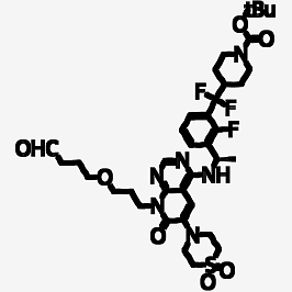 C[C@@H](Nc1ncnc2c1cc(N1CCS(=O)(=O)CC1)c(=O)n2CCCOCCCC=O)c1cccc(C(F)(F)C2CCN(C(=O)OC(C)(C)C)CC2)c1F